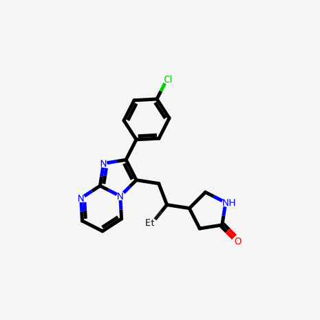 CCC(Cc1c(-c2ccc(Cl)cc2)nc2ncccn12)C1CNC(=O)C1